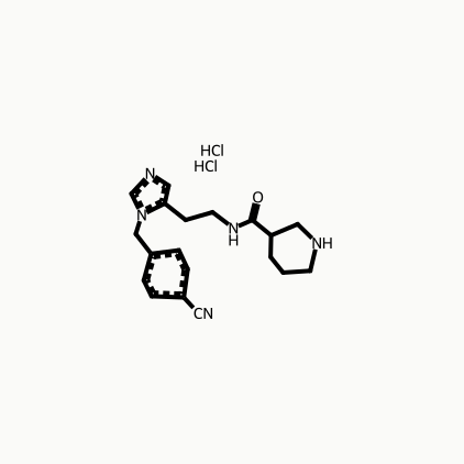 Cl.Cl.N#Cc1ccc(Cn2cncc2CCNC(=O)C2CCCNC2)cc1